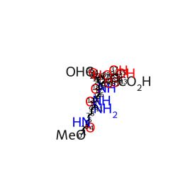 COCCC(=O)NCCCCC(N)C(=O)NCCC(=O)Nc1cc(COC=O)ccc1O[C@@H]1O[C@H](C(=O)O)[C@@H](O)[C@H](O)[C@H]1O